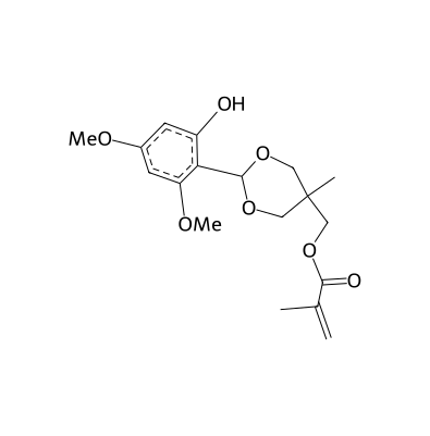 C=C(C)C(=O)OCC1(C)COC(c2c(O)cc(OC)cc2OC)OC1